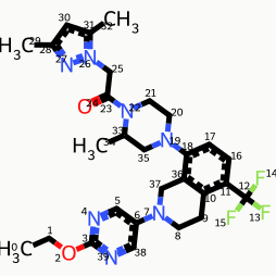 CCOc1ncc(N2CCc3c(C(F)(F)F)ccc(N4CCN(C(=O)Cn5nc(C)cc5C)C(C)C4)c3C2)cn1